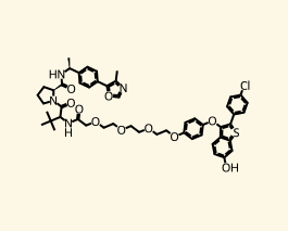 Cc1ncoc1-c1ccc([C@H](C)NC(=O)[C@@H]2CCCN2C(=O)C(NC(=O)COCCOCCOCCOc2ccc(Oc3c(-c4ccc(Cl)cc4)sc4cc(O)ccc34)cc2)C(C)(C)C)cc1